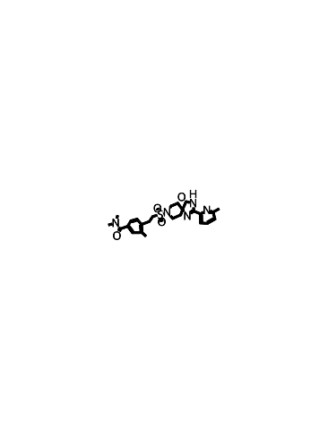 Cc1cccc(C2=NC3(CCN(S(=O)(=O)CCc4ccc(C(=O)N(C)C)cc4C)CC3)C(=O)N2)n1